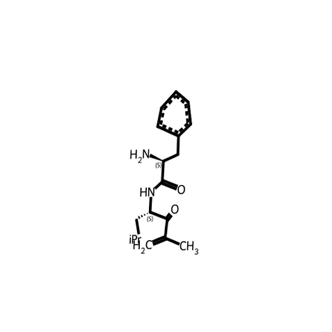 C=C(C)C(=O)[C@H](CC(C)C)NC(=O)[C@@H](N)Cc1ccccc1